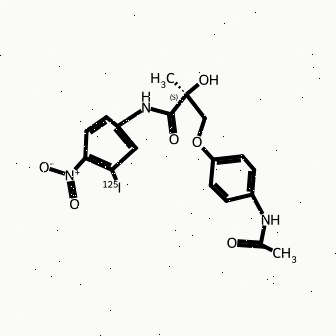 CC(=O)Nc1ccc(OC[C@](C)(O)C(=O)Nc2ccc([N+](=O)[O-])c([125I])c2)cc1